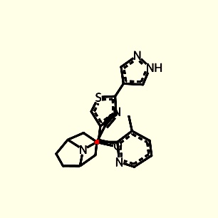 Cc1cccnc1C1(C#N)CC2CCC(C1)N2C(=O)c1csc(-c2cn[nH]c2)c1